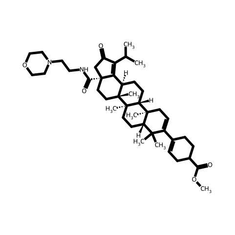 COC(=O)C1CC=C(C2=CC[C@]3(C)[C@H]4CC[C@@H]5C6=C(C(C)C)C(=O)C[C@]6(C(=O)NCCN6CCOCC6)CC[C@@]5(C)[C@]4(C)CC[C@H]3C2(C)C)CC1